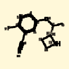 CC(Oc1cnc(F)c(C#N)c1)[C@H]1CCN1